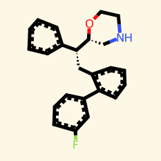 Fc1cccc(-c2ccccc2C[C@H](c2ccccc2)[C@H]2CNCCO2)c1